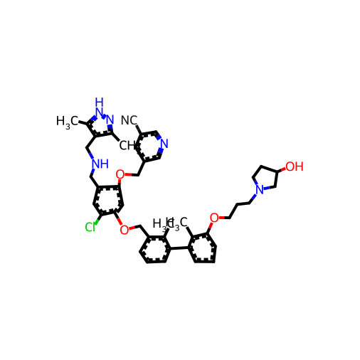 Cc1n[nH]c(C)c1CNCc1cc(Cl)c(OCc2cccc(-c3cccc(OCCCN4CCC(O)C4)c3C)c2C)cc1OCc1cncc(C#N)c1